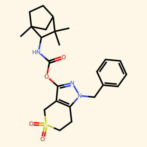 CC12CCC(C1)C(C)(C)C2NC(=O)Oc1nn(Cc2ccccc2)c2c1CS(=O)(=O)CC2